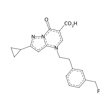 O=C(O)c1cn(CCc2cccc(CF)c2)c2cc(C3CC3)nn2c1=O